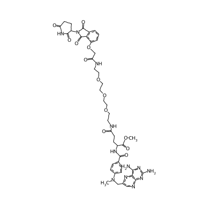 COC(=O)C(CCC(=O)NCCOCCOCCOCCNC(=O)COc1cccc2c1C(=O)N(C1CCC(=O)NC1=O)C2=O)NC(=O)c1ccc(N(C)Cc2cnc3nc(N)nc(N)c3n2)cc1